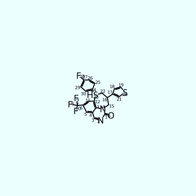 O=c1ncc2cc(C(F)(F)F)cc3c2n1CC(c1ccsc1)C[SH]3c1ccc(F)cc1